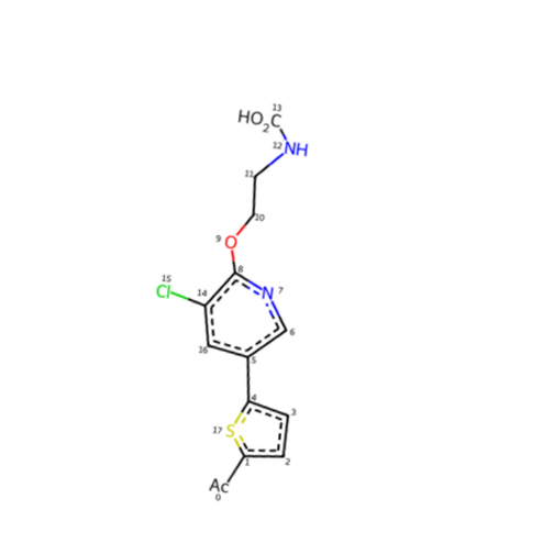 CC(=O)c1ccc(-c2cnc(OCCNC(=O)O)c(Cl)c2)s1